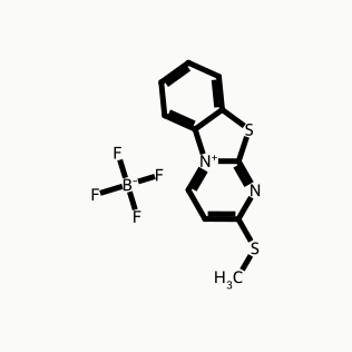 CSc1cc[n+]2c(n1)sc1ccccc12.F[B-](F)(F)F